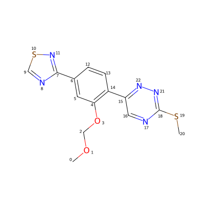 COCOc1cc(-c2ncsn2)ccc1-c1cnc(SC)nn1